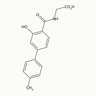 Cc1ccc(-c2ccc(C(=O)NCC(=O)O)c(O)c2)cc1